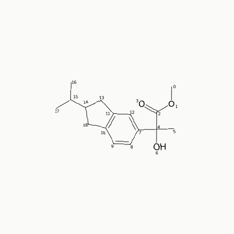 COC(=O)C(C)(O)c1ccc2c(c1)CC(C(C)C)C2